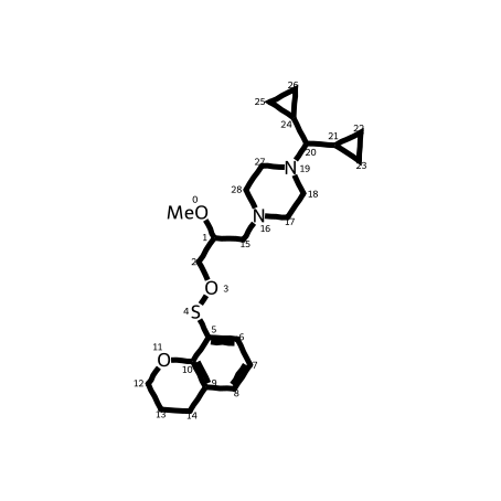 COC(COSc1cccc2c1OCCC2)CN1CCN(C(C2CC2)C2CC2)CC1